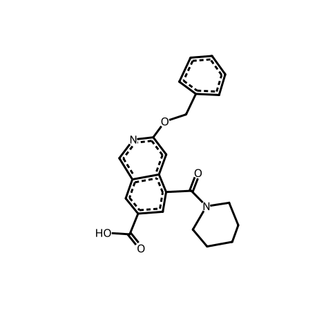 O=C(O)c1cc(C(=O)N2CCCCC2)c2cc(OCc3ccccc3)ncc2c1